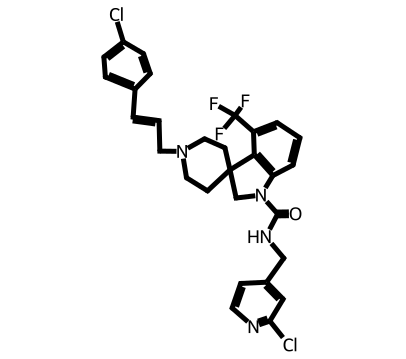 O=C(NCc1ccnc(Cl)c1)N1CC2(CCN(CC=Cc3ccc(Cl)cc3)CC2)c2c1cccc2C(F)(F)F